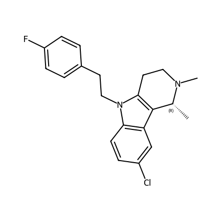 C[C@@H]1c2c(n(CCc3ccc(F)cc3)c3ccc(Cl)cc23)CCN1C